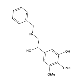 COc1cc(C(O)CNCc2ccccc2)cc(O)c1OC